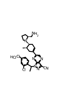 CC(c1ccc(Cl)cc1Cl)n1nc(C#N)c2ncc(C3=CC[C@H](N4CCC[C@H]4CN)[C@H](C)C3)nc21.Cl